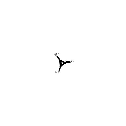 S=c1c(S)c1S